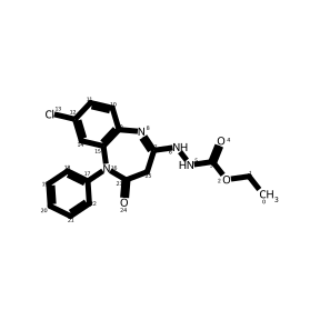 CCOC(=O)NNC1=Nc2ccc(Cl)cc2N(c2ccccc2)C(=O)C1